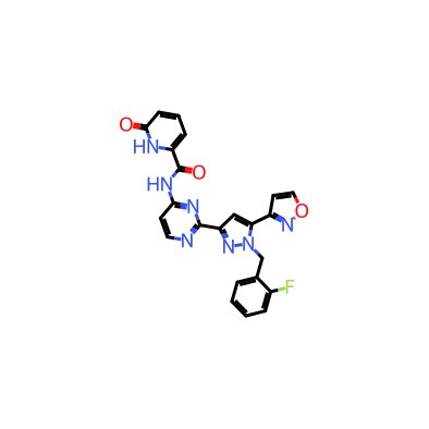 O=C(Nc1ccnc(-c2cc(-c3ccon3)n(Cc3ccccc3F)n2)n1)c1cccc(=O)[nH]1